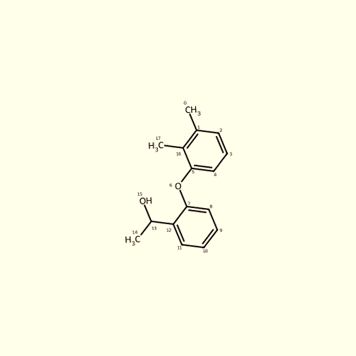 Cc1cccc(Oc2ccccc2C(C)O)c1C